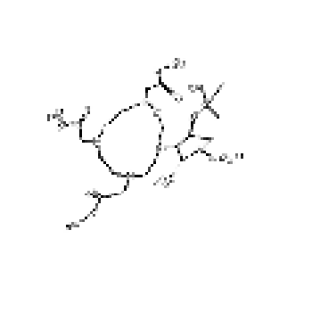 CC(C)(C)OC(=O)CN1CCN(CC(=O)OC(C)(C)C)CCN([C@@H]2[C@@H](O[Si](C)(C)C(C)(C)C)CN(C(=O)O)[C@@H]2C(=O)O)CCN(CC(=O)OC(C)(C)C)CC1